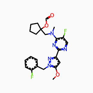 COc1cc(-c2ncc(F)c(N(C)CC3(OC=O)CCCC3)n2)nn1Cc1ccccc1F